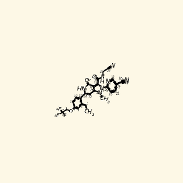 CCc1cc(OCC(F)(F)F)ccc1C1CC2C(=C(C(=O)NCC#N)N(c3ccc(C#N)cn3)N2C)C(=O)N1